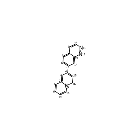 C1=CC2=CC(c3ccc4ccnnc4c3)=CCN2C=C1